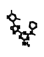 Cc1cc(C)c(-c2nc(-c3nc(N)nc(N(C)c4ccccc4)n3)no2)cn1